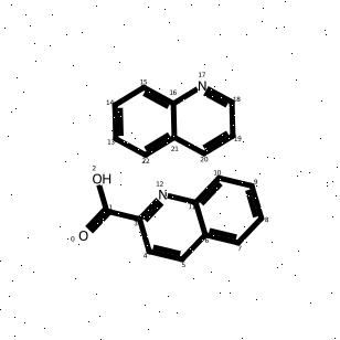 O=C(O)c1ccc2ccccc2n1.c1ccc2ncccc2c1